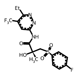 CCc1nnc(NC(=O)[C@@](C)(O)CS(=O)(=O)c2ccc(F)cc2)cc1C(F)(F)F